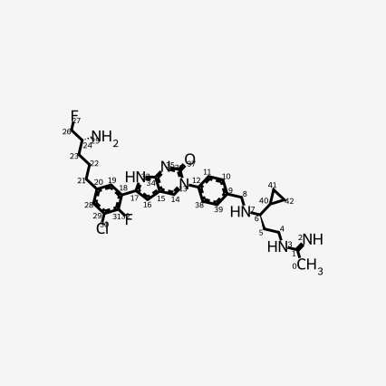 CC(=N)NCC[C@@H](NCc1ccc(-n2cc3cc(-c4cc(CCC[C@@H](N)CF)cc(Cl)c4F)[nH]c3nc2=O)cc1)C1CC1